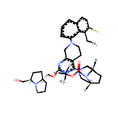 CCc1c(F)ccc2cccc(N3CCc4c(nc(OC[C@]56CCCN5[C@@H](CO)CC6)nc4N4C[C@H]5CC[C@@H](C4)N5C(=O)OC(C)(C)C)C3)c12